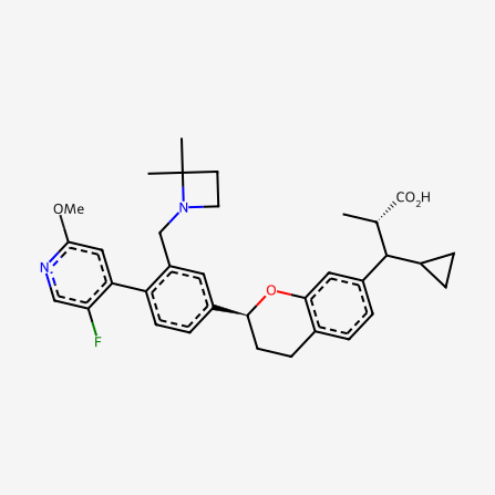 COc1cc(-c2ccc([C@@H]3CCc4ccc(C(C5CC5)[C@H](C)C(=O)O)cc4O3)cc2CN2CCC2(C)C)c(F)cn1